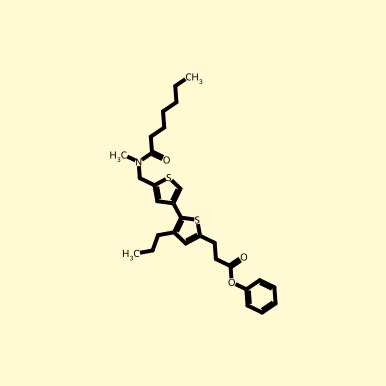 CCCCCCC(=O)N(C)Cc1cc(-c2sc(CCC(=O)Oc3ccccc3)cc2CCC)cs1